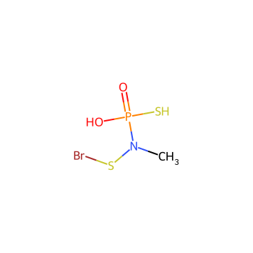 CN(SBr)P(=O)(O)S